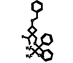 CC(C)(C)[Si](OCC1(C(F)F)CC(OCc2ccccc2)C1)(c1ccccc1)c1ccccc1